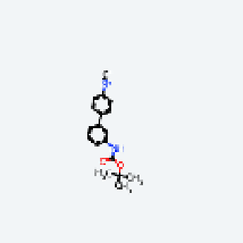 [C-]#[N+]c1ccc(-c2cccc(NC(=O)OC(C)(C)C)c2)cc1